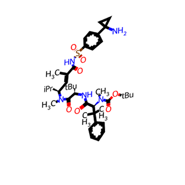 C/C(=C\[C@H](C(C)C)N(C)C(=O)[C@@H](NC(=O)[C@@H](N(C)C(=O)OC(C)(C)C)C(C)(C)c1ccccc1)C(C)(C)C)C(=O)NS(=O)(=O)c1ccc(C2(N)CC2)cc1